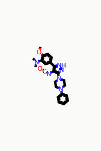 COc1ccc(-c2[nH]nc(N3CCN(c4ccccc4)CC3)c2N=C=O)cc1N(C)C